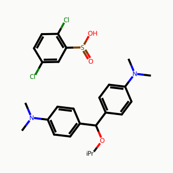 CC(C)OC(c1ccc(N(C)C)cc1)c1ccc(N(C)C)cc1.O=S(O)c1cc(Cl)ccc1Cl